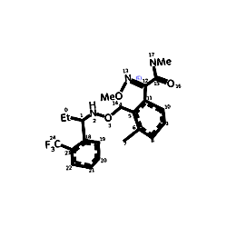 CCC(NOCc1c(C)cccc1/C(=N\OC)C(=O)NC)c1ccccc1C(F)(F)F